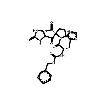 NC(=O)[C@]1(C(=O)C2CNC(=O)N2)CCCN1C(=O)[C@H](Cc1c[nH]cn1)NC(=O)OCc1ccccc1